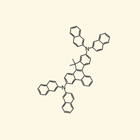 CC1(C)c2cc(N(c3ccc4ccccc4c3)c3ccc4ccccc4c3)ccc2-c2c1c1ccc(N(c3ccc4ccccc4c3)c3ccc4ccccc4c3)cc1c1ccccc21